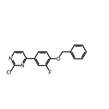 Fc1cc(-c2ccnc(Cl)n2)ccc1OCc1ccccc1